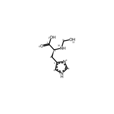 O=C(O)[C@H](Cc1c[nH]cn1)NCO